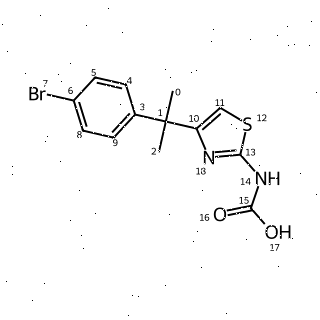 CC(C)(c1ccc(Br)cc1)c1csc(NC(=O)O)n1